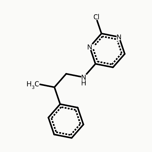 CC(CNc1ccnc(Cl)n1)c1ccccc1